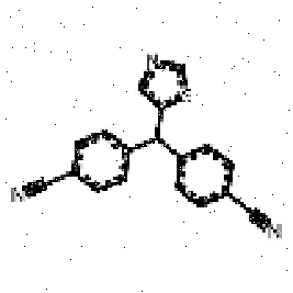 N#Cc1ccc(C(c2ccc(C#N)cc2)c2cncs2)cc1